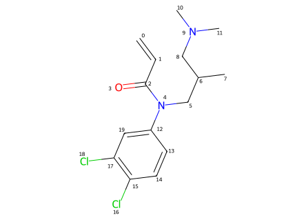 C=CC(=O)N(CC(C)CN(C)C)c1ccc(Cl)c(Cl)c1